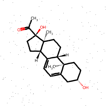 CC(=O)[C@@]1(O)CC[C@H]2C3=CC=C4C[C@@H](O)CC[C@]4(C)[C@H]3CC[C@@]21C